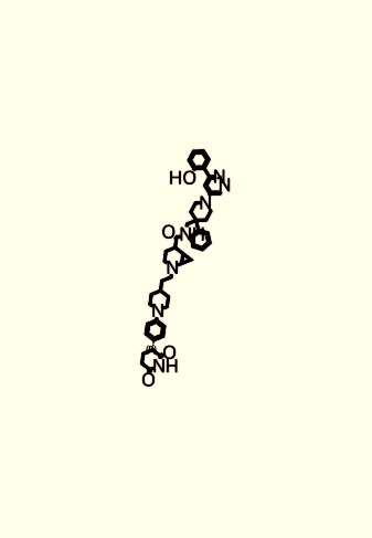 O=C1CC[C@H](c2ccc(N3CCC(CCN4CCC(C(=O)NCC5(c6ccccc6)CCN(c6cnnc(-c7ccccc7O)c6)CC5)C5CC54)CC3)cc2)C(=O)N1